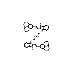 Cn1c(/C=C/c2cc3c4c(c2)CCCN4CCC3)[n+](CCSSCC[n+]2c(/C=C/c3cc4c5c(c3)CCCN5CCC4)n(C)c3ccccc32)c2ccccc21